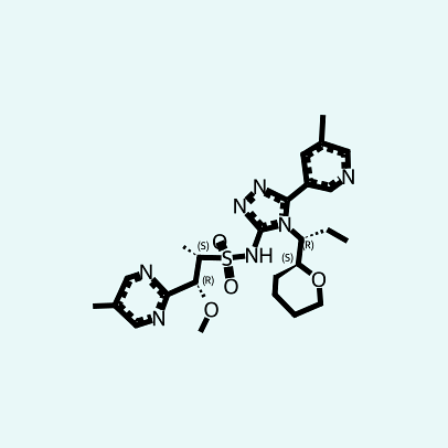 CC[C@H]([C@@H]1CCCCO1)n1c(NS(=O)(=O)[C@@H](C)[C@H](OC)c2ncc(C)cn2)nnc1-c1cncc(C)c1